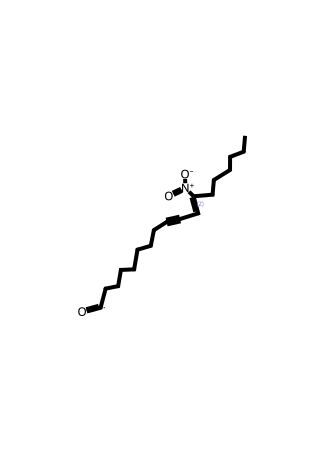 CCCCCC/C(=C/C#CCCCCCCC[C]=O)[N+](=O)[O-]